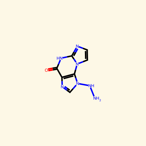 NNn1cnc2c(=O)[nH]c3nccn3c21